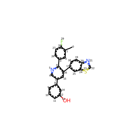 Cc1cc(-c2ncc(-c3cccc(O)c3)cc2-c2ccc3ncsc3c2)ccc1F